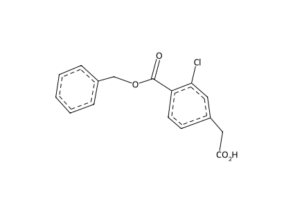 O=C(O)Cc1ccc(C(=O)OCc2ccccc2)c(Cl)c1